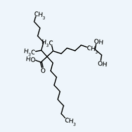 CCCCCCCCCC(C(=O)O)(C(C)CCCCC)C(C)CCCCC.OCCO